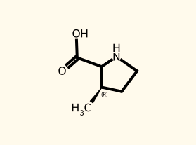 C[C@@H]1CCNC1C(=O)O